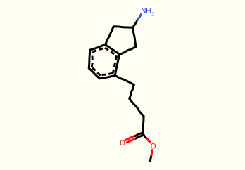 COC(=O)CCCc1cccc2c1CC(N)C2